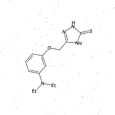 CCN(CC)c1cccc(OCc2n[nH]c(=S)[nH]2)c1